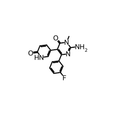 Cn1c(N)nc(-c2cccc(F)c2)c(-c2ccc(=O)[nH]c2)c1=O